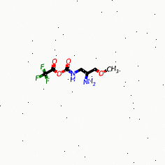 COCC(N)CNC(=O)OC(=O)C(F)(F)F